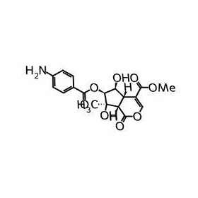 COC(=O)C1=COC(=O)[C@H]2[C@@H]1[C@H](O)[C@H](OC(=O)c1ccc(N)cc1)[C@]2(C)O